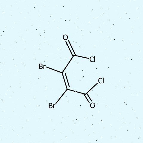 O=C(Cl)/C(Br)=C(/Br)C(=O)Cl